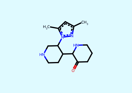 Cc1cc(C)n(C2CNCCC2C2NCCCC2=O)n1